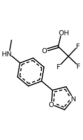 CNc1ccc(-c2cnco2)cc1.O=C(O)C(F)(F)F